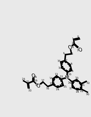 C=CC(=O)OCCc1ccc(N(c2ccc(CCOC(=O)C(=C)C)cc2)c2ccc(C)c(C)c2)cc1